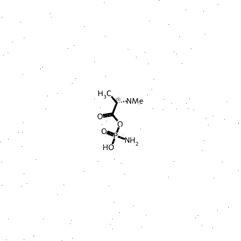 CN[C@@H](C)C(=O)OP(N)(=O)O